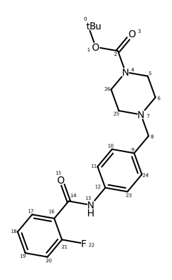 CC(C)(C)OC(=O)N1CCN(Cc2ccc(NC(=O)c3ccccc3F)cc2)CC1